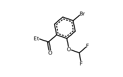 CCC(=O)c1ccc(Br)cc1OC(F)F